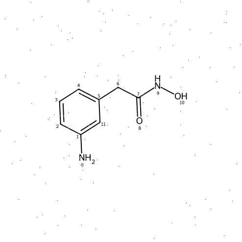 Nc1cccc(CC(=O)NO)c1